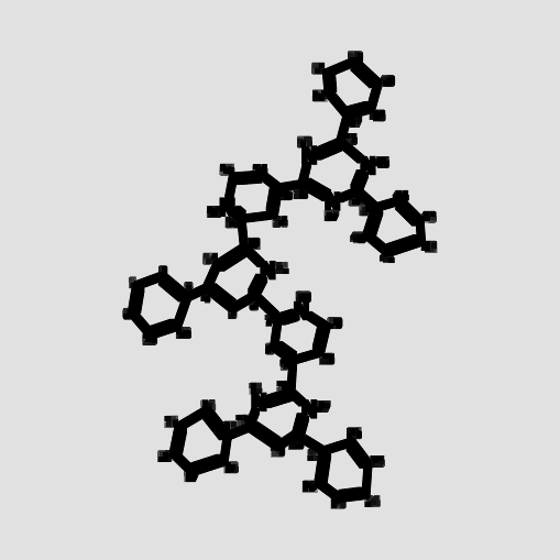 c1ccc(-c2cc(-c3cc(-c4nc(-c5ccccc5)cc(-c5ccccc5)n4)ccn3)nc(-c3cc(-c4nc(-c5ccccc5)nc(-c5ccccc5)n4)ccn3)c2)cc1